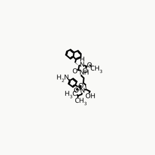 COC(=O)N[C@@H](Cc1cccc2ccccc12)C(=O)NCCCC[C@@H](CO)N(CC(C)C)S(=O)(=O)c1ccc(N)cc1